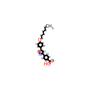 CCCCCCCOc1ccc(-c2cc(-c3ccc(C(=O)O)cc3)no2)cc1